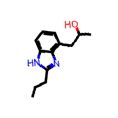 CCCc1nc2c(CC(C)O)cccc2[nH]1